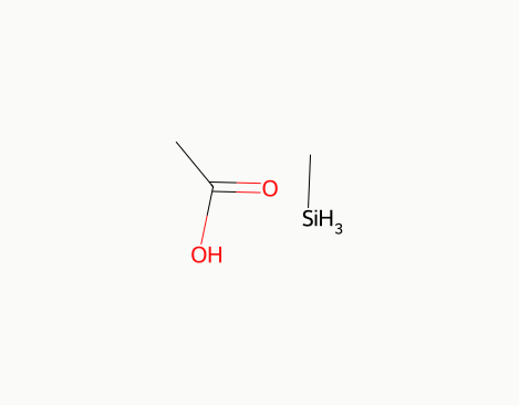 CC(=O)O.C[SiH3]